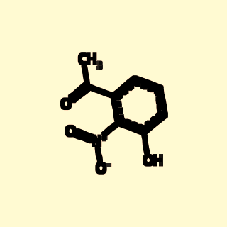 CC(=O)c1cccc(O)c1[N+](=O)[O-]